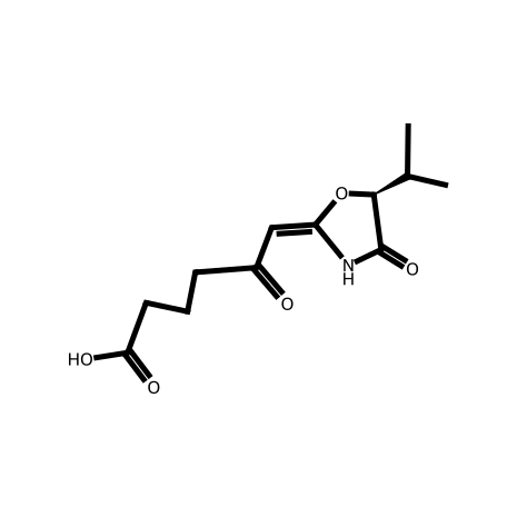 CC(C)[C@@H]1O/C(=C/C(=O)CCCC(=O)O)NC1=O